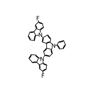 Fc1ccc2c(c1)c1ccccc1n2-c1ccc2c(c1)c1cc(-n3c4ccccc4c4cc(F)ccc43)ccc1n2-c1ccccc1